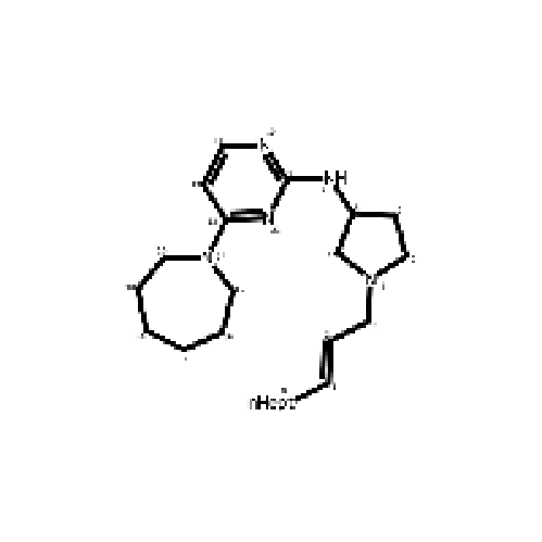 CCCCCCC/C=C/CN1CCC(Nc2nccc(N3CCCCCC3)n2)C1